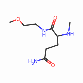 CNC(CCC(N)=O)C(=O)NCCOC